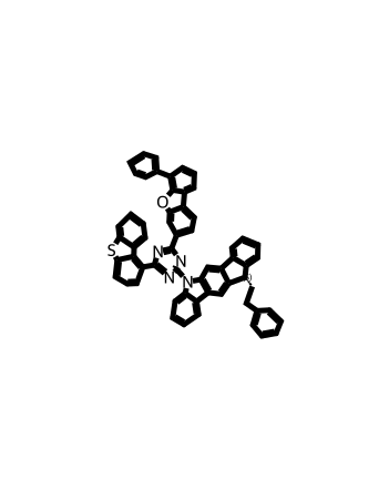 c1ccc(CC[C@H]2c3ccccc3-c3cc4c(cc32)c2ccccc2n4-c2nc(-c3ccc4c(c3)oc3c(-c5ccccc5)cccc34)nc(-c3cccc4sc5ccccc5c34)n2)cc1